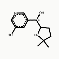 CC1(C)CCC([C@H](O)c2cncc(O)c2)N1